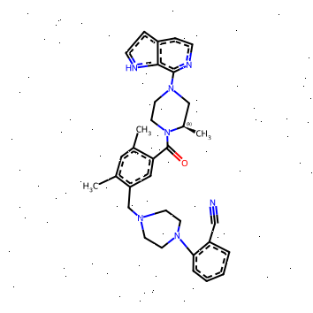 Cc1cc(C)c(C(=O)N2CCN(c3nccc4cc[nH]c34)C[C@H]2C)cc1CN1CCN(c2ccccc2C#N)CC1